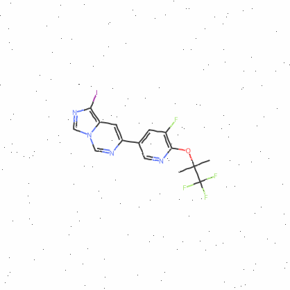 CC(C)(Oc1ncc(-c2cc3c(I)ncn3cn2)cc1F)C(F)(F)F